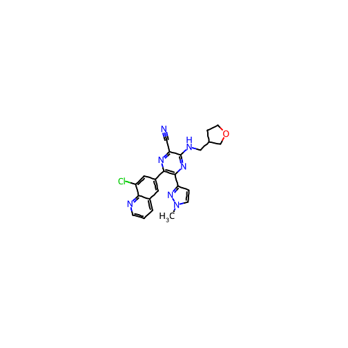 Cn1ccc(-c2nc(NCC3CCOC3)c(C#N)nc2-c2cc(Cl)c3ncccc3c2)n1